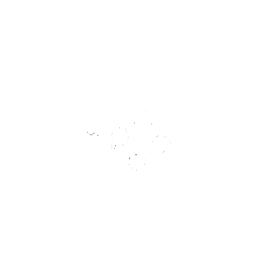 CCc1cc(C(c2ccccc2)(c2ccccc2)c2cccc(C)c2)cnc1C#N